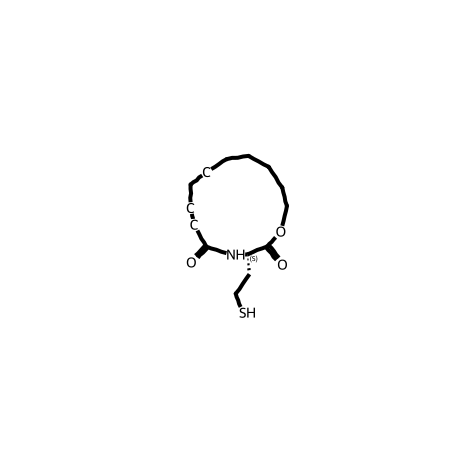 O=C1CCCCCCCCCOC(=O)[C@H](CCS)N1